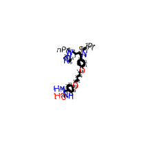 CCCN(CCc1sc(C(C)C)nc1-c1ccc(OCCCCCOc2ccc(C(=N)NO)cc2)cc1)n1ccnc1